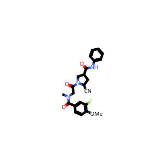 COc1ccc(C(=O)N(C)CC(=O)N2CC(C(=O)Nc3ccccc3)CC2C#N)cc1F